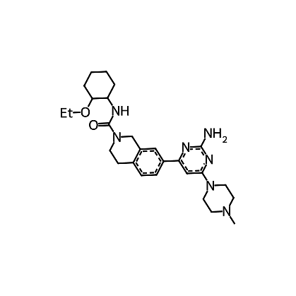 CCOC1CCCCC1NC(=O)N1CCc2ccc(-c3cc(N4CCN(C)CC4)nc(N)n3)cc2C1